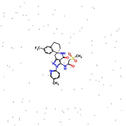 Cc1ccc(-n2nc3c(c2NC(=O)CS(C)(=O)=O)C(=O)N[C@@]2(CCCc4cc(C(F)(F)F)ccc42)C3)nc1